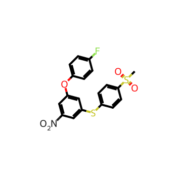 CS(=O)(=O)c1ccc(Sc2cc(Oc3ccc(F)cc3)cc([N+](=O)[O-])c2)cc1